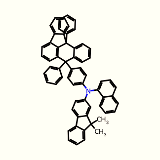 CC1(C)c2ccccc2-c2ccc(N(c3ccc(C4(c5ccccc5)c5ccccc5C5(c6ccccc6)c6ccccc6-c6cccc4c65)cc3)c3cccc4ccccc34)cc21